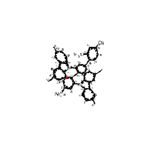 Cc1ccc2c(c1)c1cc(C)ccc1n2-c1cc(C#N)ccc1-c1ccc(-c2ccc(C#N)cc2C(F)(F)F)cc1-n1c2ccc(C)cc2c2cc(C)ccc21